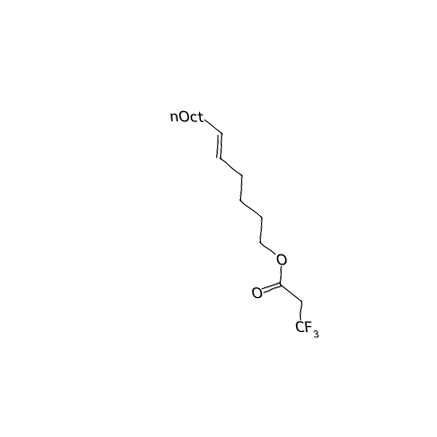 CCCCCCCC/C=C/CCCCOC(=O)CC(F)(F)F